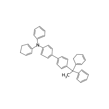 CC(C1=CC=CCC1)(c1ccccc1)c1ccc(-c2ccc(N(C3=CCCC=C3)c3ccccc3)cc2)cc1